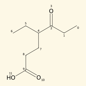 CCC(=O)C(CC)CCC(=O)O